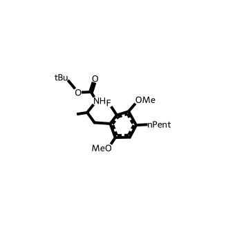 CCCCCc1cc(OC)c(CC(C)NC(=O)OC(C)(C)C)c(F)c1OC